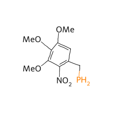 COc1cc(CP)c([N+](=O)[O-])c(OC)c1OC